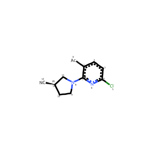 CC(=O)c1ccc(Cl)nc1N1CC[C@@H](C#N)C1